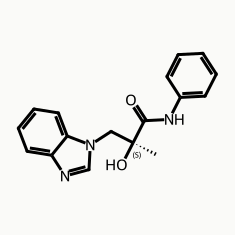 C[C@](O)(Cn1cnc2ccccc21)C(=O)Nc1ccccc1